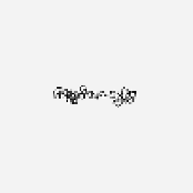 O=C1CC[C@H](N2Cc3c(ccc4c3OCC43CCN(CC4CCC(c5ccc6c(c5)C5(CCCCC5)c5nc(=O)c7c(Cl)cccc7n5-6)C4)CC3)C2=O)C(=O)N1